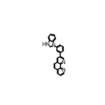 c1cc(-c2cnc3c(ccc4cccnc43)c2)cc(N2CNc3ccccc32)c1